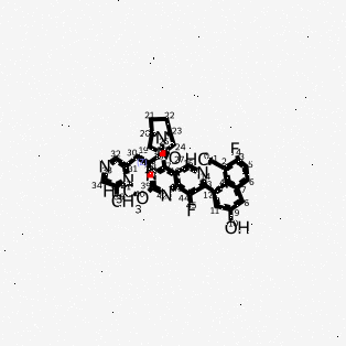 C#Cc1c(F)ccc2cc(O)cc(-c3ncc4c(N5CC6CCC(C5)N6C(=O)/C(F)=C/c5cncc(C)n5)nc(OC)nc4c3F)c12